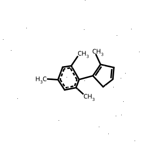 CC1=C(c2c(C)cc(C)cc2C)CC=C1